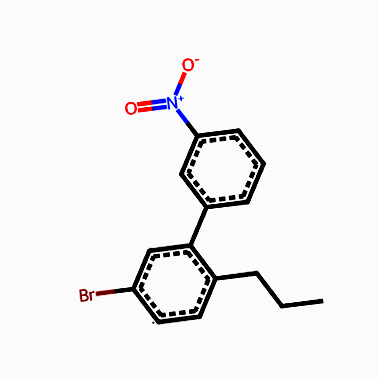 CCCc1c[c]c(Br)cc1-c1cccc([N+](=O)[O-])c1